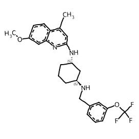 COc1ccc2c(C)cc(N[C@H]3CCC[C@H](NCc4cccc(OC(F)(F)F)c4)C3)nc2c1